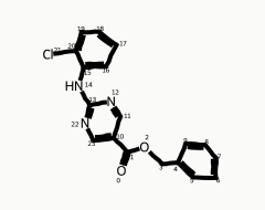 O=C(OCc1ccccc1)c1cnc(Nc2ccccc2Cl)nc1